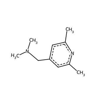 Cc1cc(CN(C)C)cc(C)n1